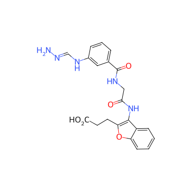 NN=CNc1cccc(C(=O)NCC(=O)Nc2c(CCC(=O)O)oc3ccccc23)c1